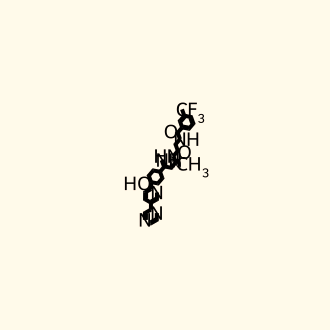 C[C@H](CC(=N)C1CCC(O)(c2ccc(-c3cnccn3)cn2)CC1)NC(=O)CNC(=O)c1cccc(C(F)(F)F)c1